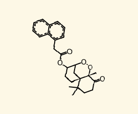 CC1(C)CCC(=O)[C@@]2(C)OOC3C[C@@]12CCC3OC(=O)Cc1cccc2ccccc12